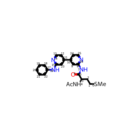 CSCCC(NC(C)=O)C(=O)Nc1cc(-c2ccnc(Nc3ccccc3)c2)ccn1